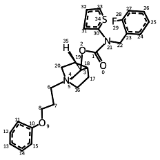 O=C(O[C@H]1C[N+]2(CCCOc3ccccc3)CCC1CC2)N(Cc1ccccc1F)c1cccs1